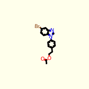 CC(=O)OCCc1ccc(-n2cnc3cc(Br)ccc32)cc1